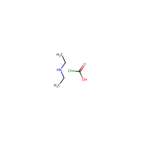 CCNCC.O=C(O)Cl